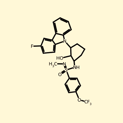 CN=S(=O)(NC1CCCC(n2c3ccccc3c3cc(F)ccc32)C1O)c1ccc(OC(F)(F)F)cc1